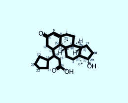 C[C@]12CC[C@H]3[C@@H](CCC4=CC(=O)CC(C(CC(=O)O)C5CCCC5)[C@@]43C)[C@@H]1CC[C@@H]2O